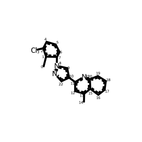 Cc1c(Cl)cccc1-n1cc(-c2cc(C)c3ccccc3n2)cn1